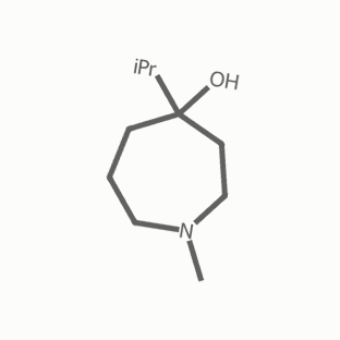 CC(C)C1(O)CCCN(C)CC1